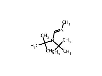 CN=CN(C(C)(C)C)C(C)(C)C